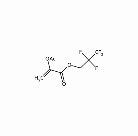 C=C(OC(C)=O)C(=O)OCC(F)(F)C(F)(F)F